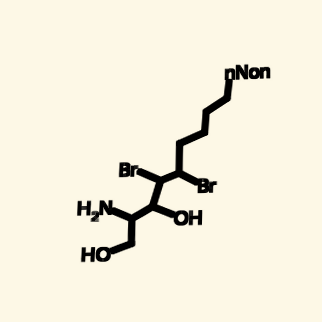 CCCCCCCCCCCCCC(Br)C(Br)C(O)C(N)CO